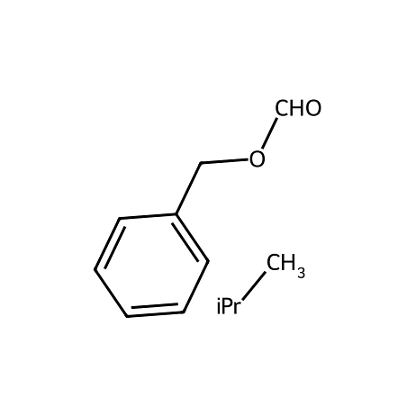 CC(C)C.O=COCc1ccccc1